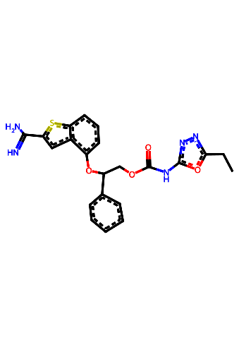 CCc1nnc(NC(=O)OCC(Oc2cccc3sc(C(=N)N)cc23)c2ccccc2)o1